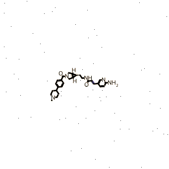 CN1CCC(c2ccc(C(=O)N3C[C@@H]4[C@@H](CCNC(=O)/C=C/c5ccc(N)nc5)[C@@H]4C3)cc2)CC1